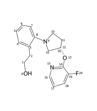 OCCc1c[c]ccc1N1CC[C@H](Oc2ncccc2F)C1